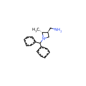 C[C@@H]1[C@@H](CN)CN1C(c1ccccc1)c1ccccc1